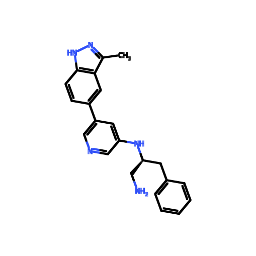 Cc1n[nH]c2ccc(-c3cncc(N[C@H](CN)Cc4ccccc4)c3)cc12